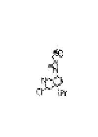 CC(C)c1ccc(N2C[C@H](C[S@+](C)[O-])[C@H]2C)c2cnc(Cl)cc12